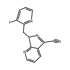 N#Cc1nn(Cc2ncccc2F)c2ncccc12